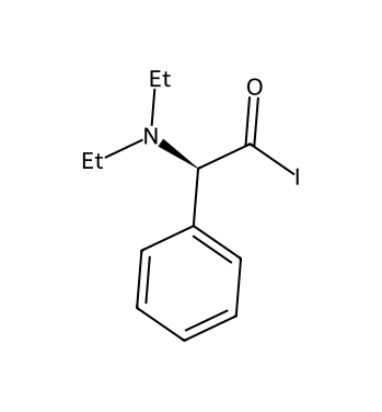 CCN(CC)[C@@H](C(=O)I)c1ccccc1